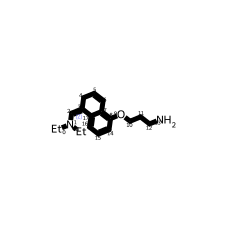 CCN(/C=C1/CC=Cc2c(OCCCN)cccc21)CC